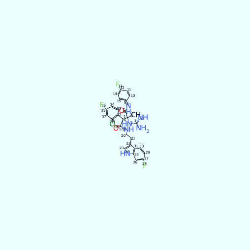 CC(NC(=N)N)(C(=O)Nc1ccc(F)cc1)C(C(=O)NCCc1c[nH]c2cc(F)ccc12)c1ccc(F)cc1Cl